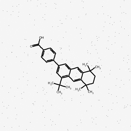 CC(C)(C)c1cc(-c2ccc(C(=O)O)cc2)cc2cc3c(cc12)C(C)(C)CCC3(C)C